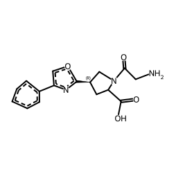 NCC(=O)N1C[C@H](c2nc(-c3ccccc3)co2)CC1C(=O)O